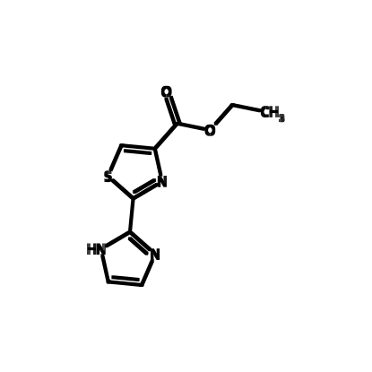 CCOC(=O)c1csc(-c2ncc[nH]2)n1